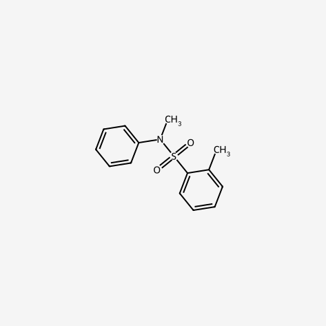 Cc1ccccc1S(=O)(=O)N(C)c1ccccc1